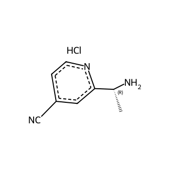 C[C@@H](N)c1cc(C#N)ccn1.Cl